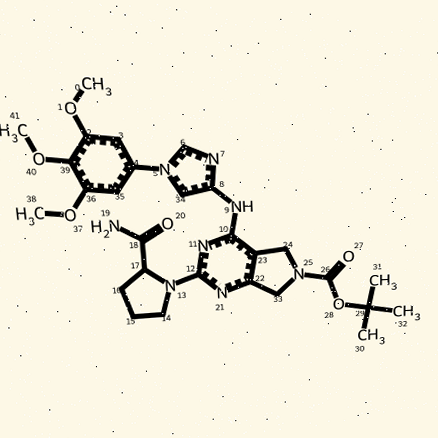 COc1cc(-n2cnc(Nc3nc(N4CCCC4C(N)=O)nc4c3CN(C(=O)OC(C)(C)C)C4)c2)cc(OC)c1OC